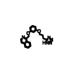 c1cc(OCCCc2nnn[nH]2)cc(OCc2nccc3ccccc23)c1